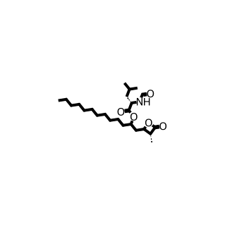 CCCCCCCCCCCC(CC1OC(=O)[C@@H]1C)OC(=O)[C@H](CC(C)C)NC=O